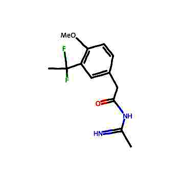 COc1ccc(CC(=O)NC(C)=N)cc1C(C)(F)F